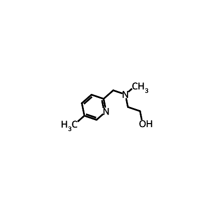 Cc1ccc(CN(C)CCO)nc1